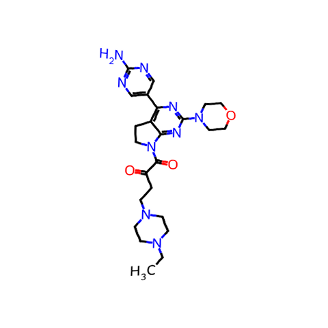 CCN1CCN(CCC(=O)C(=O)N2CCc3c(-c4cnc(N)nc4)nc(N4CCOCC4)nc32)CC1